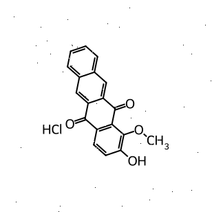 COc1c(O)ccc2c1C(=O)c1cc3ccccc3cc1C2=O.Cl